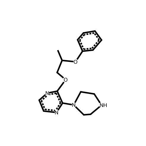 CC(COc1nccnc1N1CCNCC1)Oc1ccccc1